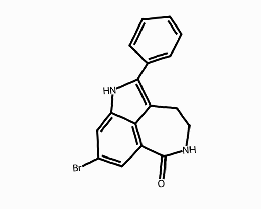 O=C1NCCc2c(-c3ccccc3)[nH]c3cc(Br)cc1c23